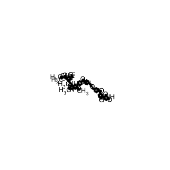 COc1cc2nc(C)nc(N[C@H](C)c3cc(C(=O)OC(C)(C)C)cc(C(F)(F)F)c3)c2cc1C1=CCC(C(=O)N2CCN(CCOCC3CCN(C(=O)c4ccc(Cl)c(N5CCC(=O)NC5=O)c4)CC3)CC2)CC1